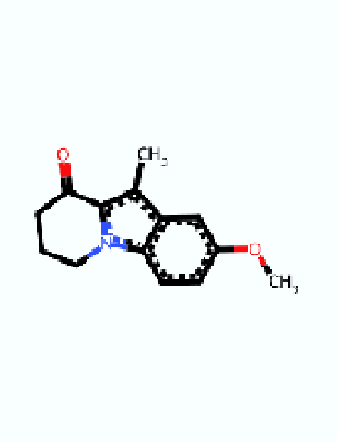 COc1ccc2c(c1)c(C)c1n2CCCC1=O